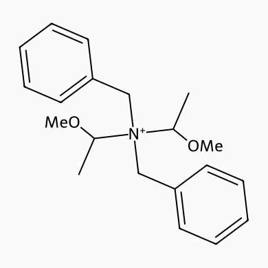 COC(C)[N+](Cc1ccccc1)(Cc1ccccc1)C(C)OC